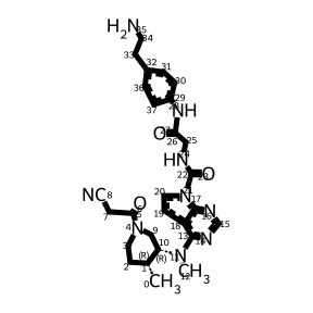 C[C@@H]1CCN(C(=O)CC#N)C[C@@H]1N(C)c1ncnc2c1ccn2C(=O)NCC(=O)Nc1ccc(CCN)cc1